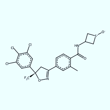 Cc1cc(C2=NO[C@@](c3cc(Cl)c(Cl)c(Cl)c3)(C(F)(F)F)C2)ccc1C(=O)NC1C[S+]([O-])C1